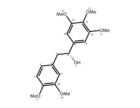 COc1ccc(C[C@@H](O)c2cc(OC)c(OC)c(OC)c2)cc1OC